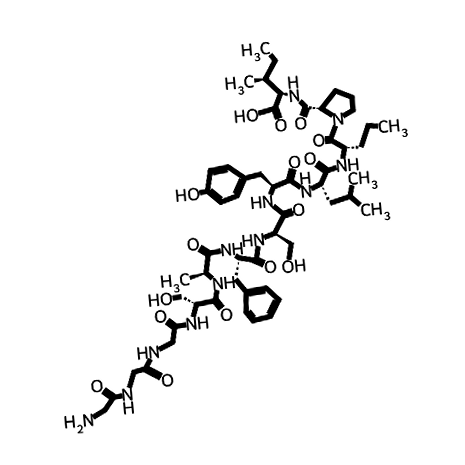 CCC[C@H](NC(=O)[C@H](CC(C)C)NC(=O)[C@H](Cc1ccc(O)cc1)NC(=O)[C@@H](CO)NC(=O)[C@H](Cc1ccccc1)NC(=O)[C@H](C)NC(=O)[C@@H](CO)NC(=O)CNC(=O)CNC(=O)CN)C(=O)N1CCC[C@H]1C(=O)N[C@H](C(=O)O)[C@@H](C)CC